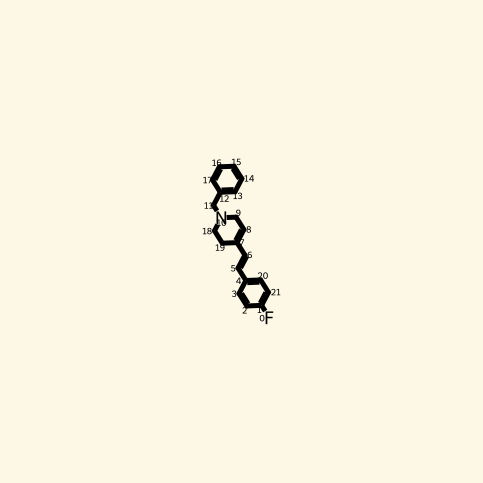 Fc1ccc(/C=C/C2=CCN(Cc3ccccc3)CC2)cc1